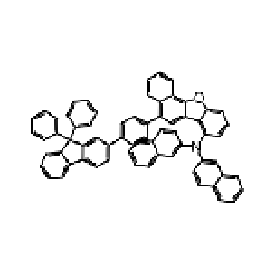 c1ccc(C2(c3ccccc3)c3ccccc3-c3ccc(-c4ccc(-c5cc6c(oc7cccc(N(c8ccc9ccccc9c8)c8ccc9ccccc9c8)c76)c6ccccc56)cc4)cc32)cc1